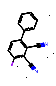 N#Cc1c(I)ccc(-c2ccccc2)c1C#N